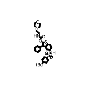 CC(C)(C)c1ccc(S(=O)(=O)Nc2ccc3sc(OC(=O)NCCN4CCOCC4)c(-c4ccccc4)c3c2)cc1